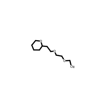 N#CCOCCOCCC1CCCCO1